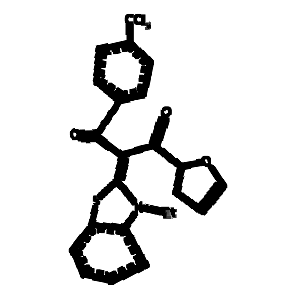 CCN1/C(=C(/C(=O)c2ccc(C(Cl)(Cl)Cl)cc2)C(=O)C2CC=CO2)Sc2ccccc21